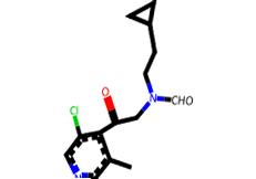 Cc1cncc(Cl)c1C(=O)CN(C=O)CCC1CC1